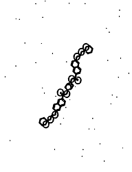 O=C(OC1CC2CC1CC2OC(=O)c1ccc2cc(OCOC3CCCCO3)ccc2c1)c1ccc2cc(OCOC3CCCCO3)ccc2c1